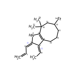 C=C/C=c1/[nH]c2c(/c1=C/C)CCCC(CC)CC2(C)C